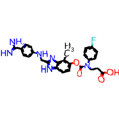 Cc1c(OC(=O)N(CCC(=O)O)c2ccc(F)cc2)ccc2[nH]c(CNc3ccc(C(=N)N)cc3)nc12